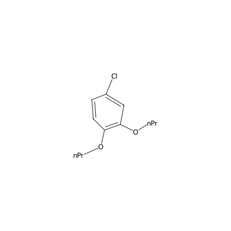 CCCOc1ccc(Cl)cc1OCCC